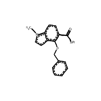 CCCC(=O)c1ccc2c(ccn2C)c1OCc1ccccc1